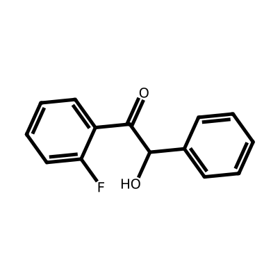 O=C(c1ccccc1F)C(O)c1ccccc1